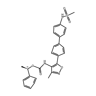 Cc1noc(-c2ccc(-c3ccc(NS(C)(=O)=O)cc3)cc2)c1NC(=O)O[C@H](C)c1ccccc1